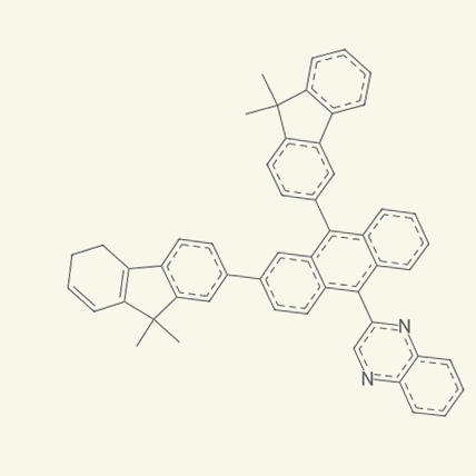 CC1(C)C2=C(CCC=C2)c2ccc(-c3ccc4c(-c5cnc6ccccc6n5)c5ccccc5c(-c5ccc6c(c5)-c5ccccc5C6(C)C)c4c3)cc21